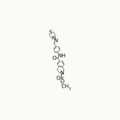 CCOC(=O)CN1CCc2cc(C(=O)Nc3ccc(/C=N/N4CCSCC4)cc3)ccc2C1